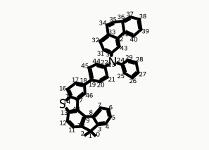 CC1(C)c2ccccc2-c2c1ccc1sc3ccc(-c4ccc(N(c5ccccc5)c5ccc6ccc7ccccc7c6c5)cc4)cc3c21